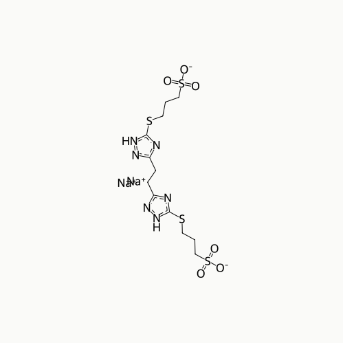 O=S(=O)([O-])CCCSc1nc(CCc2n[nH]c(SCCCS(=O)(=O)[O-])n2)n[nH]1.[Na+].[Na+]